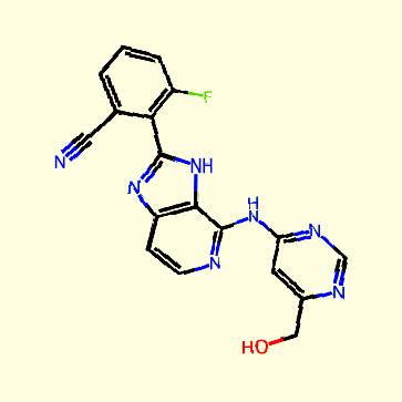 N#Cc1cccc(F)c1-c1nc2ccnc(Nc3cc(CO)ncn3)c2[nH]1